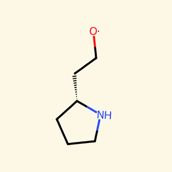 [O]CC[C@H]1CCCN1